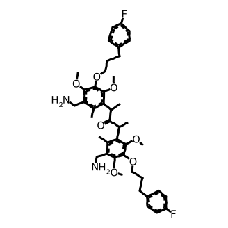 COc1c(CN)c(C)c(C(C)C(=O)C(C)c2c(C)c(CN)c(OC)c(OCCCc3ccc(F)cc3)c2OC)c(OC)c1OCCCc1ccc(F)cc1